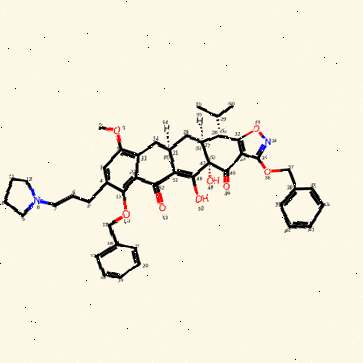 COc1cc(CCCN2CCCC2)c(OCc2ccccc2)c2c1C[C@H]1C[C@H]3[C@H](C(C)C)c4onc(OCc5ccccc5)c4C(=O)[C@@]3(O)C(O)=C1C2=O